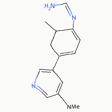 CNc1cncc(C2=CC=C(/N=C\N)C(C)C2)c1